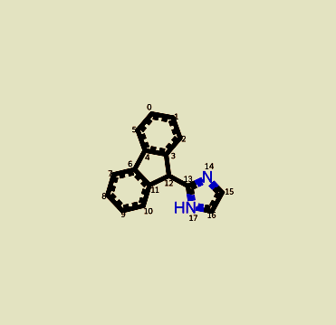 c1ccc2c(c1)-c1ccccc1C2c1ncc[nH]1